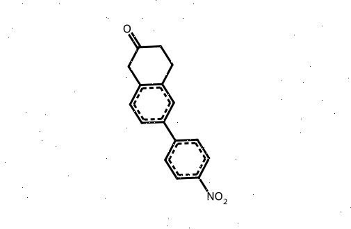 O=C1CCc2cc(-c3ccc([N+](=O)[O-])cc3)ccc2C1